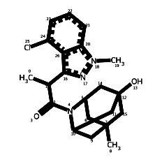 CC(C(=O)N1C2CC3(C)CC1CC(O)(C2)C3)c1nn(C)c2cccc(Cl)c12